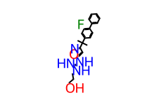 CC(C)(c1ccc(-c2ccccc2)c(F)c1)c1cc(NC(=N)NCCCO)on1